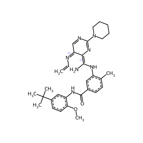 C=C/N=C1/C=NC(N2CCCCC2)=N/C1=C(/N)Nc1cc(C(=O)Nc2cc(C(C)(C)C)ccc2OC)ccc1C